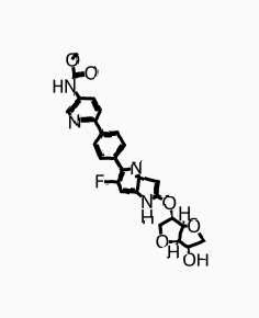 COC(=O)Nc1ccc(-c2ccc(-c3nc4cc(O[C@@H]5CO[C@H]6[C@@H]5OC[C@H]6O)[nH]c4cc3F)cc2)nc1